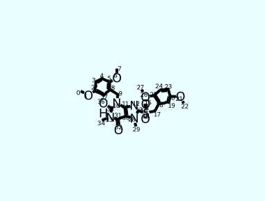 COc1ccc(OC)c(CN2c3nc(S(=O)(=O)Cc4cc(OC)ccc4OC)n(C)c3C(=O)N(C)C2O)c1